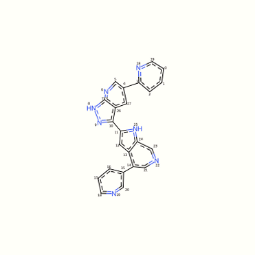 c1ccc(-c2cnc3[nH]nc(-c4cc5c(-c6cccnc6)cncc5[nH]4)c3c2)nc1